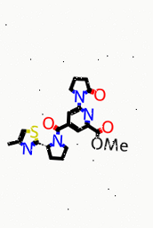 COC(=O)c1cc(C(=O)N2CCC[C@@H]2c2nc(C)cs2)cc(N2CCCC2=O)n1